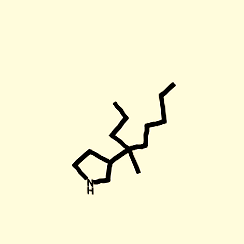 CCCCCC(C)(CCC)C1CCNC1